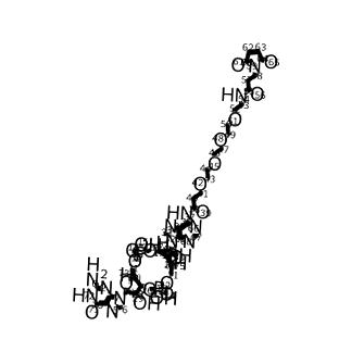 Nc1nc2c(ncn2[C@@H]2O[C@@H]3COP(=O)(O)O[C@H]4C(O)[C@@H](COP(=O)(O)OC3[C@@H]2O)O[C@H]4n2cnc3c(NC(=O)CCOCCOCCOCCOCCNC(=O)CCN4C(=O)C=CC4=O)ncnc32)c(=O)[nH]1